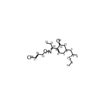 CCSC(C)CC1CC=C(C(CC)=NOCC=CCl)C(=O)C1